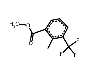 COC(=O)c1cccc(C(F)(F)F)c1I